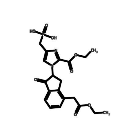 CCOC(=O)Cc1cccc2c1CC(n1cc(CP(=O)(O)O)nc1C(=O)OCC)C2=O